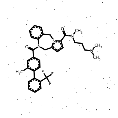 Cc1cc(C(=O)N2Cc3ccc(C(=O)N(C)CCCN(C)C)n3Cc3ccccc32)ccc1-c1ccccc1C(F)(F)F